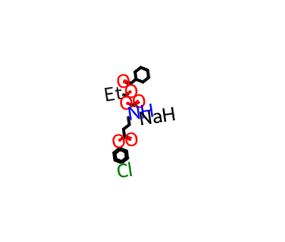 CCC(OC(=O)NCCCC(=O)Oc1ccc(Cl)cc1)OC(=O)C1CCCCC1.[NaH]